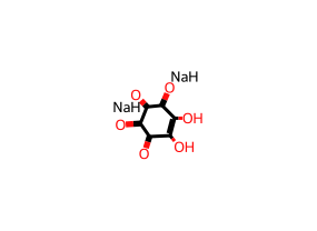 O=c1c(O)c(O)c(=O)c(=O)c1=O.[NaH].[NaH]